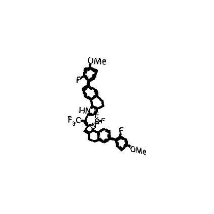 COc1ccc(-c2ccc3c(c2)CCC2=C/C(=C(/c4cc5c([nH]4)-c4ccc(-c6ccc(OC)cc6F)cc4CC5)C(F)(F)F)[N+](B(F)F)=C23)c(F)c1